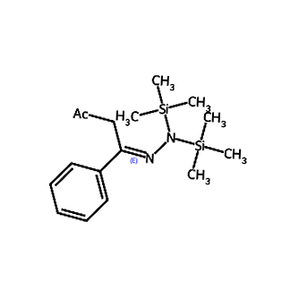 CC(=O)C/C(=N\N([Si](C)(C)C)[Si](C)(C)C)c1ccccc1